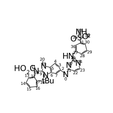 CN(c1ccc2c(c1)nc(N(C(=O)O)c1ccccc1C(C)(C)C)n2C)c1ccnc(Nc2cccc(S(N)(=O)=O)c2)n1